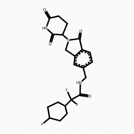 O=C1CCC(N2Cc3cc(CNC(=O)C(F)(F)C4CCC(F)CC4)ccc3C2=O)C(=O)N1